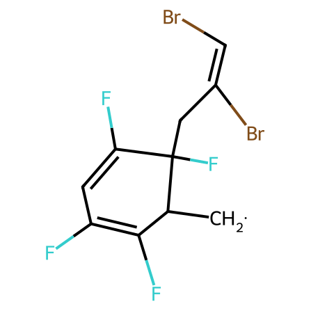 [CH2]C1C(F)=C(F)C=C(F)C1(F)C/C(Br)=C\Br